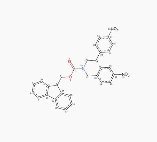 O=C(OCC1c2ccccc2-c2ccccc21)N(CCc1ccc([N+](=O)[O-])cc1)Cc1ccc([N+](=O)[O-])cc1